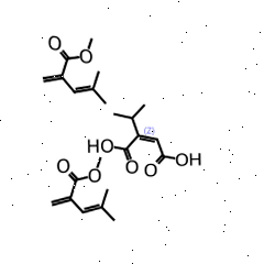 C=C(C=C(C)C)C(=O)OC.C=C(C=C(C)C)C(=O)OC.CC(C)/C(=C/C(=O)O)C(=O)O